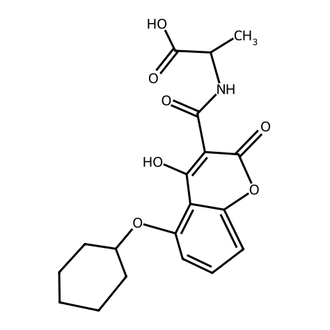 CC(NC(=O)c1c(O)c2c(OC3CCCCC3)cccc2oc1=O)C(=O)O